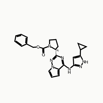 O=C(OCc1ccccc1)N1CCC[C@@H]1c1nc(Nc2cc(C3CC3)[nH]n2)c2cccn2n1